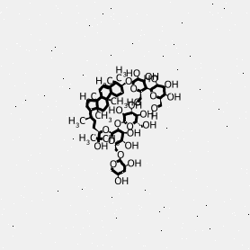 C[C@H](CC[C@@H](O[C@@H]1O[C@H](CO[C@@H]2OC[C@@H](O)C[C@H]2O)[C@@H](O)[C@H](O)[C@H]1O[C@H]1O[C@@H](CO)[C@H](O)[C@@H](O)[C@@H]1O)C(C)(C)O)C1CC[C@@]2(C)C3CC=C4C(CC[C@H](O[C@@H]5O[C@H](CO)C([C@@H]6O[C@H](CO)[C@@H](O)[C@H](O)[C@H]6O)[C@H](O)[C@H]5O)C4(C)C)[C@]3(C)CC[C@]12C